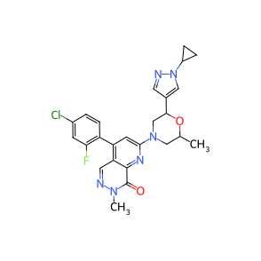 CC1CN(c2cc(-c3ccc(Cl)cc3F)c3cnn(C)c(=O)c3n2)CC(c2cnn(C3CC3)c2)O1